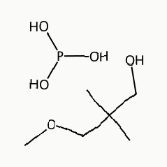 COCC(C)(C)CO.OP(O)O